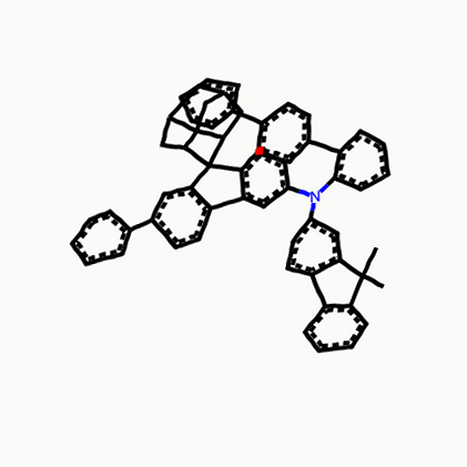 CC1(C)c2ccccc2-c2ccc(N(c3ccc4c(c3)-c3ccc(-c5ccccc5)cc3C43C4CC5CC6CC3C64C5)c3ccccc3-c3ccc(-c4ccccc4)cc3)cc21